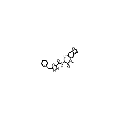 CN1C(=O)C(NC(=O)c2nnc(Cc3ccccc3)o2)COc2cc3occc3cc21